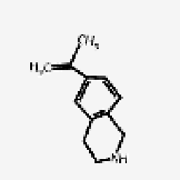 C=C(C)c1ccc2c(c1)CCNC2